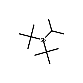 C[CH](C)[Sb]([C](C)(C)C)[C](C)(C)C